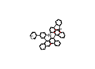 CC1(C)c2ccccc2-c2ccc(N(c3ccc(-c4ccccc4)cc3-c3cccc4ccccc34)c3ccc4ccccc4c3-c3cccc4ccccc34)cc21